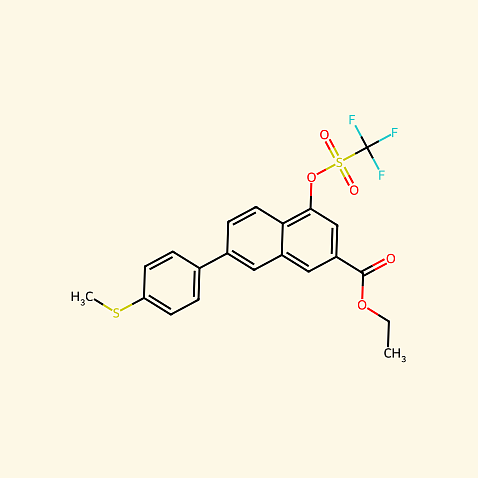 CCOC(=O)c1cc(OS(=O)(=O)C(F)(F)F)c2ccc(-c3ccc(SC)cc3)cc2c1